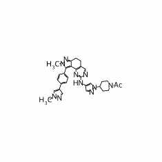 CC(=O)N1CCC(n2cc(Nc3ncc4c(n3)-c3c(nn(C)c3-c3ccc(-c5cnn(C)c5)cc3)CC4)cn2)CC1